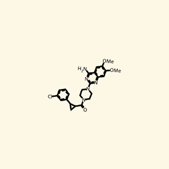 COc1cc2nc(N3CCN(C(=O)C4CC4c4cccc(Cl)c4)CC3)nc(N)c2cc1OC